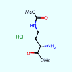 COC(=O)NCC[C@H](N)C(=O)OC.Cl